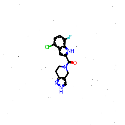 O=C(c1cc2c(Cl)ccc(F)c2[nH]1)N1CCc2n[nH]cc2C1